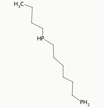 CCCCPCCCCCCP